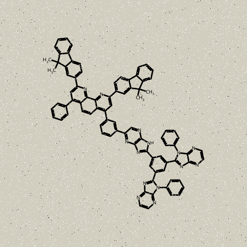 CC1(C)c2ccccc2-c2ccc(-c3cc(-c4ccccc4)c4ccc5c(-c6cccc(-c7cnc8[nH]c(-c9cc(-c%10nc%11nccnc%11n%10-c%10ccccc%10)cc(-c%10nc%11nccnc%11n%10-c%10ccccc%10)c9)nc8n7)c6)cc(-c6ccc7c(c6)C(C)(C)c6ccccc6-7)nc5c4n3)cc21